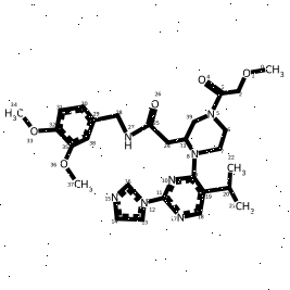 COCC(=O)N1CCN(c2nc(-n3ccnc3)ncc2C(C)C)C(CC(=O)NCc2ccc(OC)c(OC)c2)C1